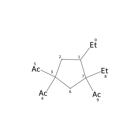 CCC1CC(C(C)=O)(C(C)=O)CC1(CC)C(C)=O